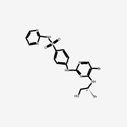 CC(C)[C@H](CO)Nc1nc(Nc2ccc(S(=O)(=O)Nc3ncccn3)cc2)ncc1Br